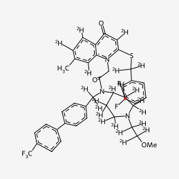 [2H]c1c(C)c([2H])c2c(c1[2H])c(=O)c([2H])c(SC([2H])([2H])c1cccc(F)c1F)n2CC(=O)N(C([2H])([2H])c1ccc(-c2ccc(C(F)(F)F)cc2)cc1)C1([2H])C([2H])([2H])C([2H])([2H])N(C([2H])([2H])C([2H])([2H])OC)C([2H])([2H])C1([2H])[2H]